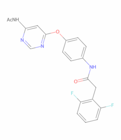 CC(=O)Nc1cc(Oc2ccc(NC(=O)Cc3c(F)cccc3F)cc2)ncn1